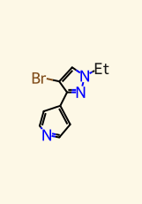 CCn1cc(Br)c(-c2ccncc2)n1